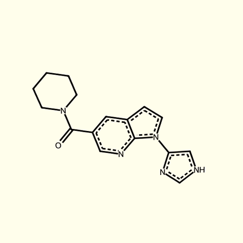 O=C(c1cnc2c(ccn2-c2c[nH]cn2)c1)N1CCCCC1